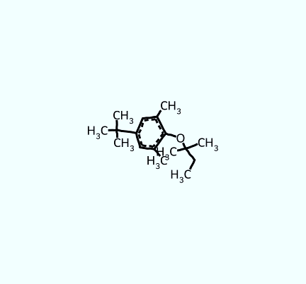 CCC(C)(C)Oc1c(C)cc(C(C)(C)C)cc1C